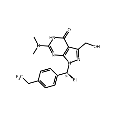 CC[C@@H](c1ccc(CC(F)(F)F)cc1)n1nc(CO)c2c(=O)[nH]c(N(C)C)nc21